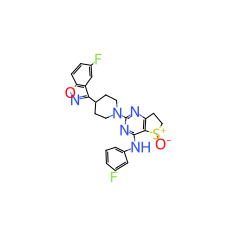 [O-][S+]1CCc2nc(N3CCC(c4noc5ccc(F)cc45)CC3)nc(Nc3cccc(F)c3)c21